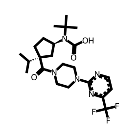 CC(C)[C@]1(C(=O)N2CCN(c3nccc(C(F)(F)F)n3)CC2)CC[C@@H](N(C(=O)O)C(C)(C)C)C1